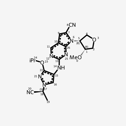 CO[C@H]1COC[C@H]1n1c(C#N)cc2cnc(Nc3cn([C@@H](C)C#N)nc3OC(C)C)nc21